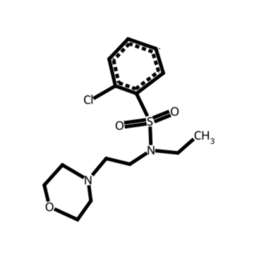 CCN(CCN1CCOCC1)S(=O)(=O)c1c[c]ccc1Cl